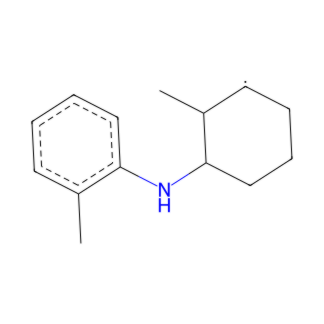 Cc1ccccc1NC1CCC[CH]C1C